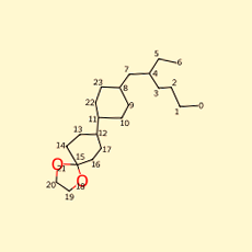 CCCCC(CC)CC1CCC(C2CCC3(CC2)OCCO3)CC1